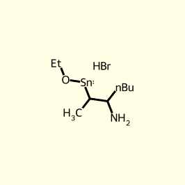 Br.CCCCC(N)[CH](C)[Sn][O]CC